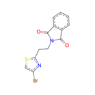 O=C1c2ccccc2C(=O)N1CCc1nc(Br)cs1